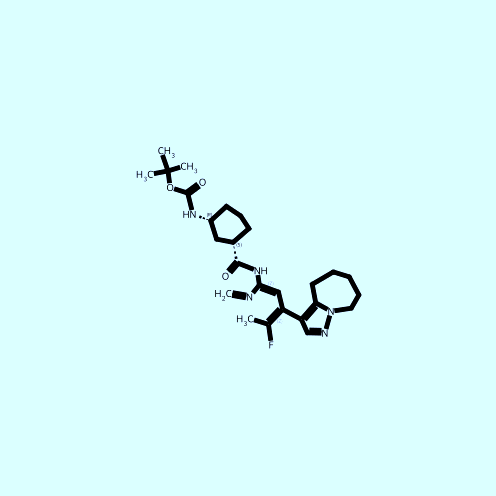 C=N/C(=C\C(=C(/C)F)c1cnn2c1CCCCC2)NC(=O)[C@H]1CCC[C@@H](NC(=O)OC(C)(C)C)C1